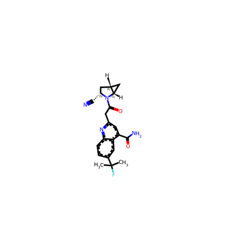 CC(C)(F)c1ccc2nc(CC(=O)N3[C@H](C#N)C[C@@H]4C[C@@H]43)cc(C(N)=O)c2c1